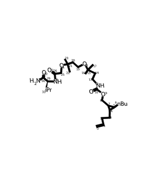 C=CCCC1C(CCCC)C1COC(=O)NCCC(C)(C)OCCC(C)(C)OCC(=O)N[C@H](C(N)=O)C(C)C